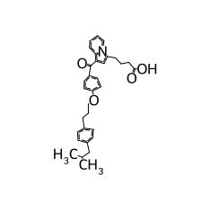 CC(C)Cc1ccc(CCCOc2ccc(C(=O)c3cc(CCCC(=O)O)n4ccccc34)cc2)cc1